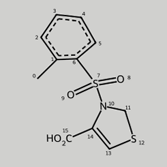 Cc1ccccc1S(=O)(=O)N1CSC=C1C(=O)O